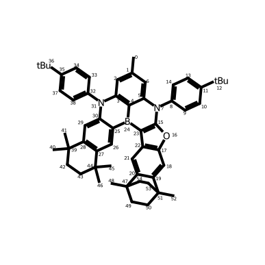 Cc1cc2c3c(c1)N(c1ccc(C(C)(C)C)cc1)c1oc4cc5c(cc4c1B3c1cc3c(cc1N2c1ccc(C(C)(C)C)cc1)C(C)(C)CCC3(C)C)C1(C)CCC5(C)CC1